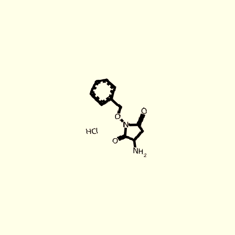 Cl.NC1CC(=O)N(OCc2ccccc2)C1=O